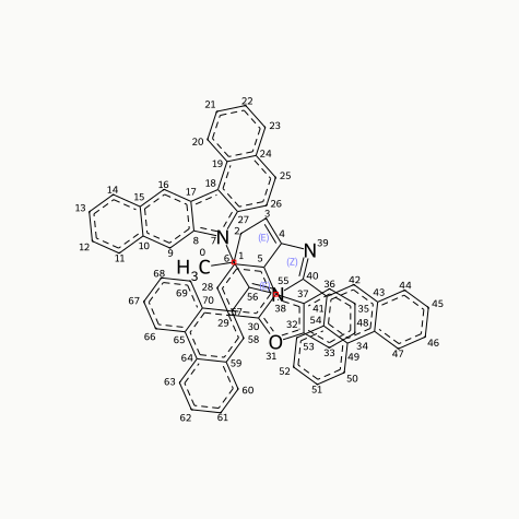 CC1C/C=C(c2c(-n3c4cc5ccccc5cc4c4c5ccccc5ccc43)ccc3oc4ccccc4c23)/N=C(c2cc3ccccc3c3ccccc23)\N=C/1c1cc2ccccc2c2ccccc12